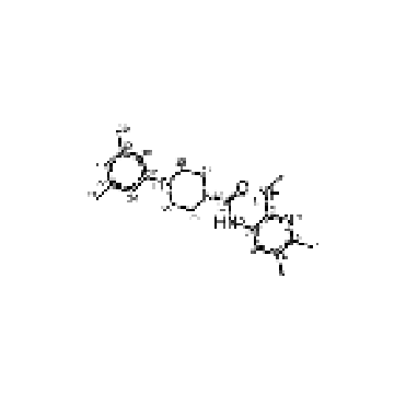 CNc1nc(C)c(C)cc1NC(=O)N1CCN(c2cc(C)cc(C)c2)CC1